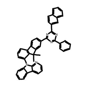 CC1(C)c2cc(-c3nc(-c4ccccc4)nc(-c4ccc5ccccc5c4)n3)ccc2-c2cccc(-n3c4ccccc4c4cccnc43)c21